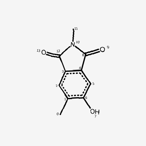 Cc1cc2c(cc1O)C(=O)N(C)C2=O